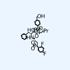 CC(C)CN(C[C@@H](O)[C@H](Cc1ccccc1)NC(=O)[C@@H]1CN(c2ccc(F)cc2F)C(=O)O1)S(=O)(=O)c1ccc(CO)cc1